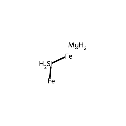 [Fe][SiH2][Fe].[MgH2]